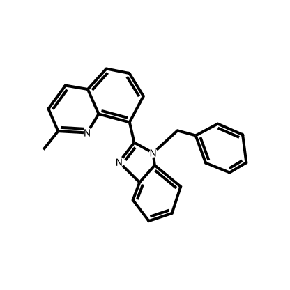 Cc1ccc2cccc(-c3nc4ccccc4n3Cc3ccccc3)c2n1